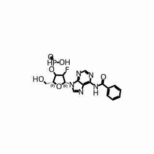 O=C(Nc1ncnc2c1ncn2[C@@H]1O[C@H](CO)C(O[PH](=O)O)C1F)c1ccccc1